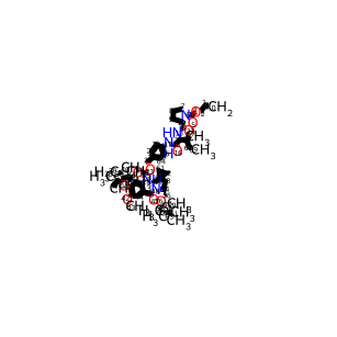 C=CCOC(=O)N1CCC[C@H]1C(=O)N[C@H](C(=O)Nc1ccc(COC(=O)Nc2cc(O[Si](C(C)C)(C(C)C)C(C)C)c(OC)cc2C(=O)N2CC3(CC3)C[C@H]2CO[Si](C)(C)C(C)(C)C)cc1)C(C)CC